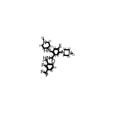 C[C@@H](NC(=O)c1cc(N2CCN(C)CC2)c(F)cc1NC1CCN(C)CC1)c1cccc(C(F)F)c1F